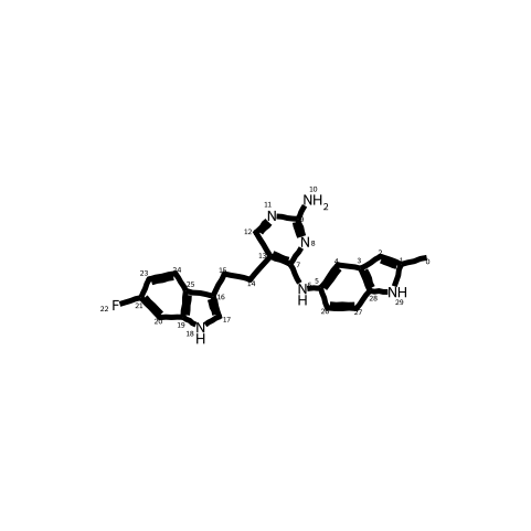 Cc1cc2cc(Nc3nc(N)ncc3CCc3c[nH]c4cc(F)ccc34)ccc2[nH]1